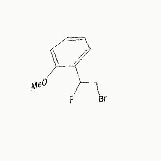 COc1ccccc1C(F)CBr